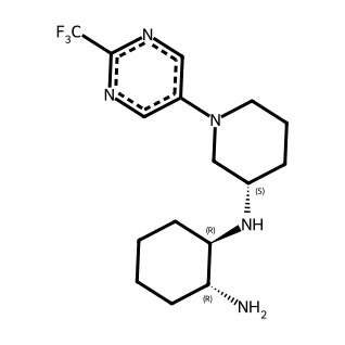 N[C@@H]1CCCC[C@H]1N[C@H]1CCCN(c2cnc(C(F)(F)F)nc2)C1